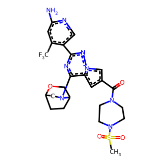 CS(=O)(=O)N1CCN(C(=O)c2cc3c(N4CC5CCC4CO5)nc(-c4cnc(N)cc4C(F)(F)F)nn3c2)CC1